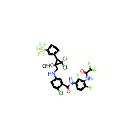 O=CC1(CNc2ccc(Cl)c(C(=O)Nc3ccc(F)c(NC(=O)C(F)F)c3F)c2)C(c2cccc(S(F)(F)(F)(F)F)c2)C1(Cl)Cl